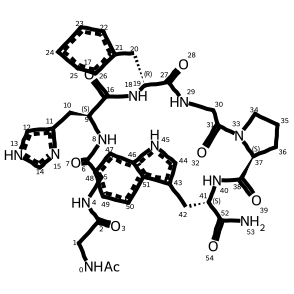 CC(=O)NCC(=O)NCC(=O)N[C@@H](Cc1c[nH]cn1)C(=O)N[C@H](Cc1ccccc1)C(=O)NCC(=O)N1CCC[C@H]1C(=O)N[C@@H](Cc1c[nH]c2ccccc12)C(N)=O